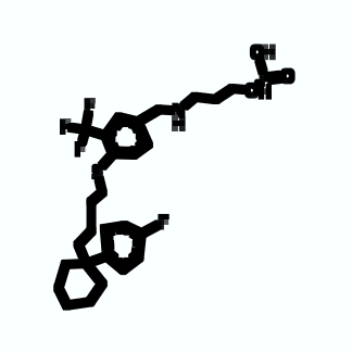 O=[PH](O)OCCCNCc1ccc(SCCCCC2(c3ccc(F)cc3)CCCCC2)c(C(F)(F)F)c1